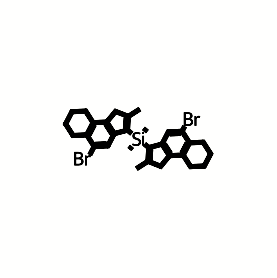 CC1=C([Si](C)(C)C2=C(C)Cc3c2cc(Br)c2c3CCCC2)c2cc(Br)c3c(c2C1)CCCC3